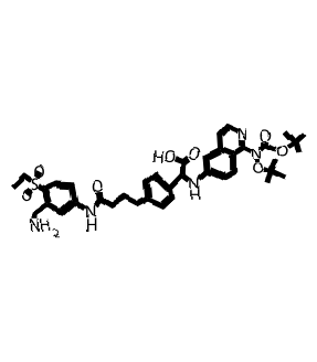 CCS(=O)(=O)c1ccc(NC(=O)CCCc2ccc(C(Nc3ccc4c(N(OC(C)(C)C)C(=O)OC(C)(C)C)nccc4c3)C(=O)O)cc2)cc1CN